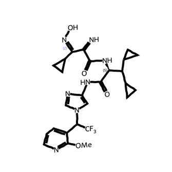 COc1ncccc1C(n1cnc(NC(=O)[C@@H](NC(=O)C(=N)/C(=N\O)C2CC2)C(C2CC2)C2CC2)c1)C(F)(F)F